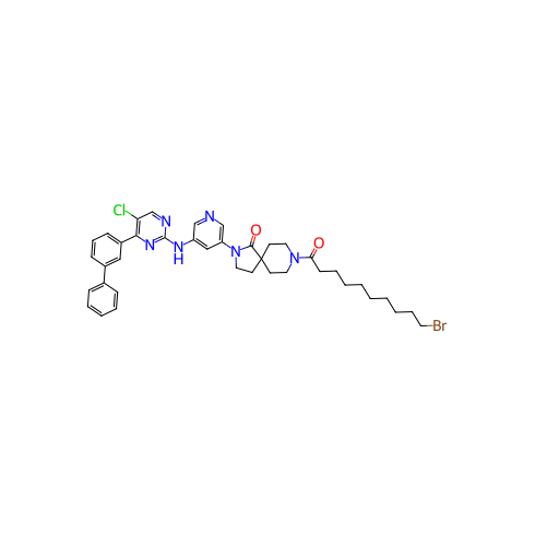 O=C(CCCCCCCCCBr)N1CCC2(CC1)CCN(c1cncc(Nc3ncc(Cl)c(-c4cccc(-c5ccccc5)c4)n3)c1)C2=O